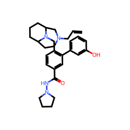 C=CCN1CCC2CCCC(C1)N2Cc1ccc(C(=O)NN2CCCC2)cc1-c1cccc(O)c1